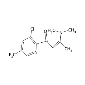 CC(=CC(=O)c1ncc(C(F)(F)F)cc1Cl)N(C)C